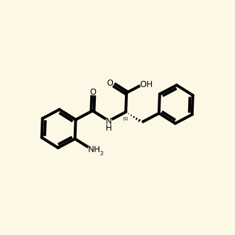 Nc1ccccc1C(=O)N[C@@H](Cc1ccccc1)C(=O)O